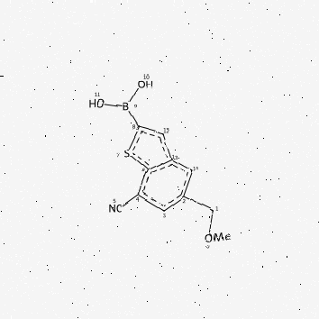 COCc1cc(C#N)c2sc(B(O)O)cc2c1